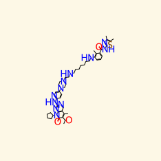 CC(=O)c1c(C)c2cnc(Nc3ccc(N4CCN(CCNCCCCCCCNc5cccc(C(=O)Nc6nc(C)c(C)s6)c5C)CC4)cn3)nc2n(C2CCCC2)c1=O